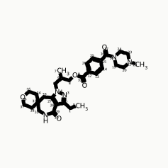 CCc1nn(CC(C)COC(=O)c2ccc(C(=O)N3CCN(C)CC3)cc2)c2c1C(=O)NCC1(CCOCC1)C2